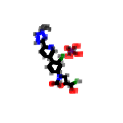 Cn1nnc(-c2ccc(-c3ccc(N4CC(C(O)F)OC4=O)cc3F)cn2)n1.O=P(O)(O)O